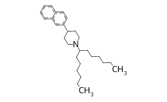 CCCCCCC(CCCCCC)N1CCC(c2ccc3ccccc3c2)CC1